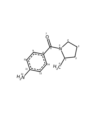 CC1CCCN1C(=O)c1ccc(N)cc1